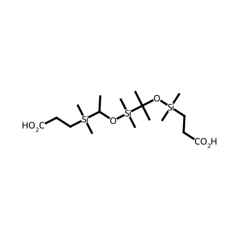 CC(O[Si](C)(C)C(C)(C)O[Si](C)(C)CCC(=O)O)[Si](C)(C)CCC(=O)O